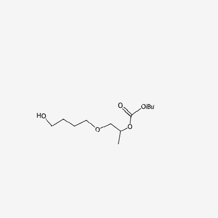 CC(C)COC(=O)OC(C)COCCCCO